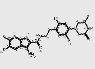 C=C1CN(c2cc(F)c(CCNC(=O)c3sc4nc(C)c(F)cc4c3N)cc2F)CC(C)N1